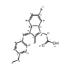 CCc1ccc(C=C2C(C)=C(CC(=O)O)c3cc(F)ccc32)cc1